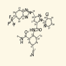 CNC(=O)c1cc(C#N)cc(C)c1NC(=O)c1cc(Cn2nc3ccc(C(F)(F)F)cc3n2)nn1-c1ncccc1Cl